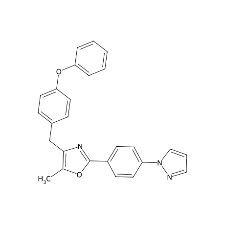 Cc1oc(-c2ccc(-n3cccn3)cc2)nc1Cc1ccc(Oc2ccccc2)cc1